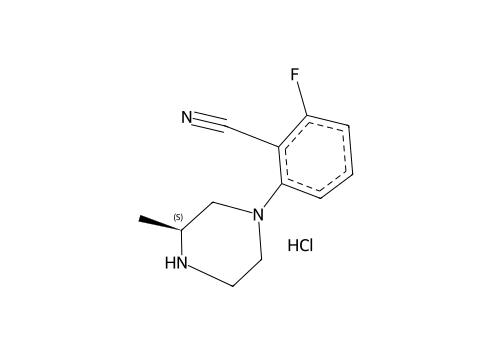 C[C@H]1CN(c2cccc(F)c2C#N)CCN1.Cl